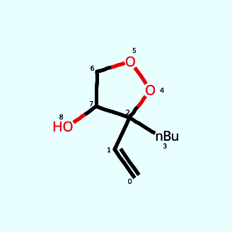 C=CC1(CCCC)OOCC1O